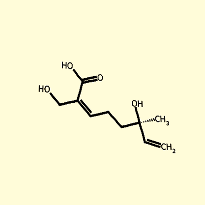 C=C[C@](C)(O)CCC=C(CO)C(=O)O